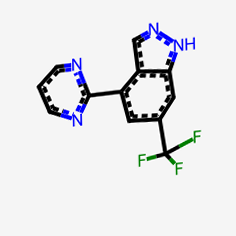 FC(F)(F)c1cc(-c2ncccn2)c2cn[nH]c2c1